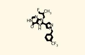 CC(CF)CN1c2nc[nH]c(=O)c2NC1c1cnn(Cc2cccc(C(F)(F)F)c2)c1